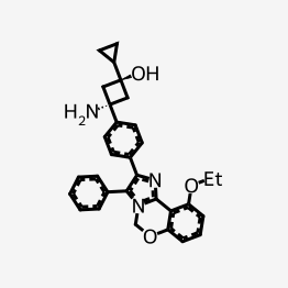 CCOc1cccc2c1-c1nc(-c3ccc([C@]4(N)C[C@@](O)(C5CC5)C4)cc3)c(-c3ccccc3)n1CO2